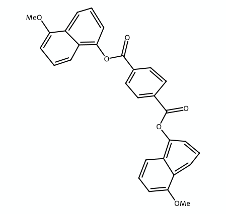 COc1cccc2c(OC(=O)c3ccc(C(=O)Oc4cccc5c(OC)cccc45)cc3)cccc12